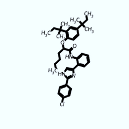 CCCCC(Oc1ccc(C(C)(C)CC)cc1C(C)(C)CC)C(=O)Nc1ccccc1-c1c[nH]c(-c2ccc(Cl)cc2)n1